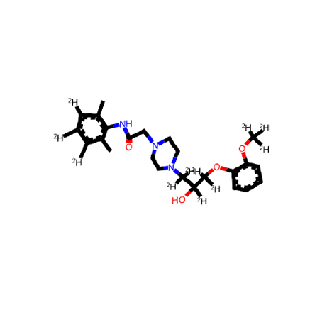 [2H]c1c([2H])c(C)c(NC(=O)CN2CCN(C([2H])([2H])C([2H])(O)C([2H])([2H])Oc3ccccc3OC([2H])([2H])[2H])CC2)c(C)c1[2H]